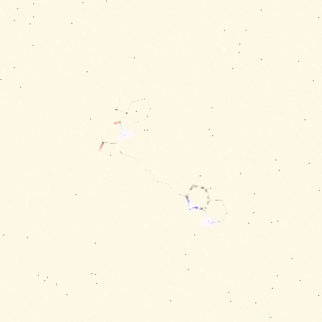 O=C(O)[C@H](CCOCCCCc1ccc2c(n1)NCCC2)NC(=O)C1(C(F)(F)F)CCCCC1